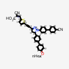 CCCCCCOc1ccc(-c2ccc(C3CC(C#Cc4ccc(/C=C(/C#N)C(=O)O)s4)=NN3c3ccc(-c4ccc(C#N)cc4)cc3)cc2)cc1